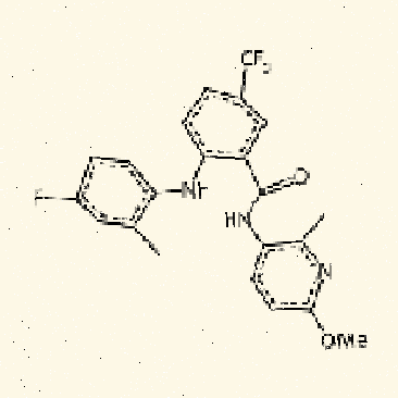 COc1ccc(NC(=O)c2cc(C(F)(F)F)ccc2Nc2ccc(F)cc2C)c(C)n1